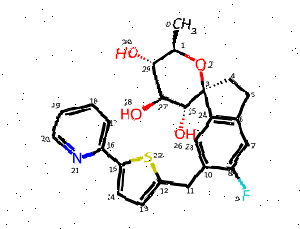 C[C@H]1O[C@]2(CCc3cc(F)c(Cc4ccc(-c5ccccn5)s4)cc32)[C@H](O)[C@@H](O)[C@@H]1O